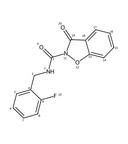 O=C(NCc1ccccc1F)n1oc2ccccc2c1=O